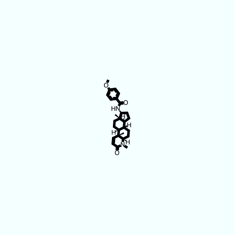 COc1ccc(C(=O)N[C@H]2CC[C@H]3[C@@H]4CC[C@H]5N(C)C(=O)C=C[C@]5(C)[C@H]4CC[C@]23C)cc1